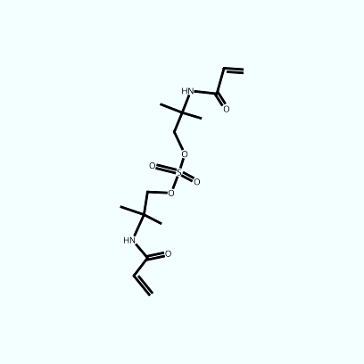 C=CC(=O)NC(C)(C)COS(=O)(=O)OCC(C)(C)NC(=O)C=C